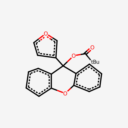 CC(C)(C)C(=O)OC1(c2ccoc2)c2ccccc2Oc2ccccc21